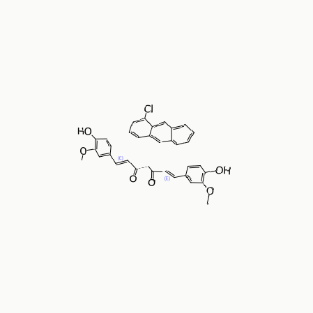 COc1cc(/C=C/C(=O)CC(=O)/C=C/c2ccc(O)c(OC)c2)ccc1O.Clc1cccc2cc3ccccc3cc12